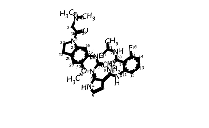 C=C(/N=C1/NC=C/C1=C(/N)Nc1cccc(F)c1C(=O)NC(C)C)Nc1cc2c(cc1OC)CCN2C(=O)CN(C)C